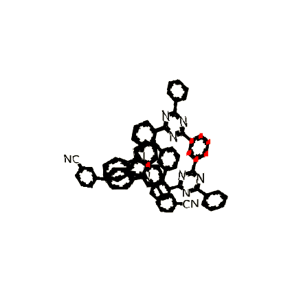 N#Cc1cccc(-c2ccc3c(c2)c2ccccc2n3-c2cccc(-c3nc(-c4ccccc4)nc(-c4ccccc4)n3)c2-c2cccc(-c3c(-c4nc(-c5ccccc5)nc(-c5ccccc5)n4)cccc3-n3c4ccccc4c4cc(-c5cccc(C#N)c5)ccc43)c2)c1